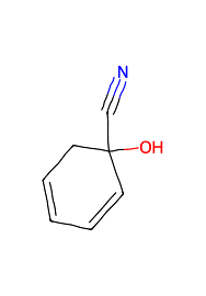 N#CC1(O)C=CC=CC1